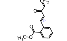 C=CC(=O)/C=C/c1ccccc1C(=O)OC